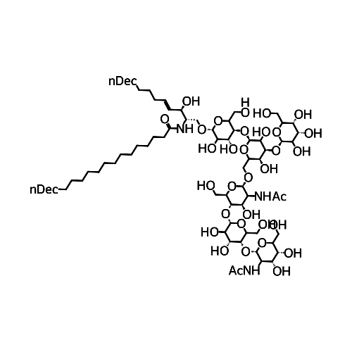 CCCCCCCCCCCCC/C=C/[C@@H](O)[C@H](CO[C@@H]1OC(CO)[C@@H](O[C@@H]2OC(CO[C@@H]3OC(CO)[C@@H](O[C@@H]4OC(CO)[C@H](O[C@@H]5OC(CO)[C@H](O)[C@H](O)C5NC(C)=O)[C@H](O)C4O)[C@H](O)C3NC(C)=O)[C@H](O)[C@H](O[C@H]3OC(CO)[C@H](O)[C@H](O)C3O)C2O)[C@H](O)C1O)NC(=O)CCCCCCCCCCCCCCCCCCCCCCC